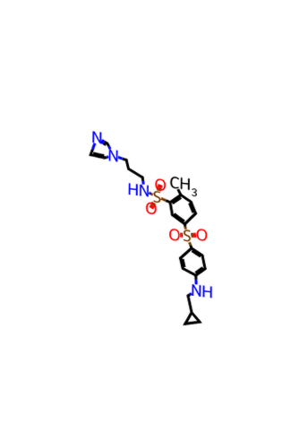 Cc1ccc(S(=O)(=O)c2ccc(NCC3CC3)cc2)cc1S(=O)(=O)NCCCn1ccnc1